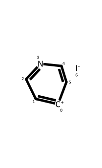 [C+]1=CC=NC=C1.[I-]